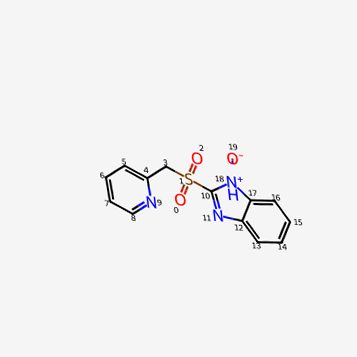 O=S(=O)(Cc1ccccn1)C1=Nc2ccccc2[NH+]1[O-]